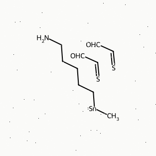 O=CC=S.O=CC=S.[CH3][Sn][CH2]CCCCN